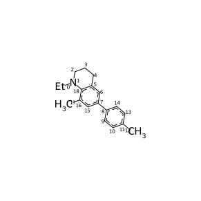 CCN1CCCc2cc(-c3ccc(C)cc3)cc(C)c21